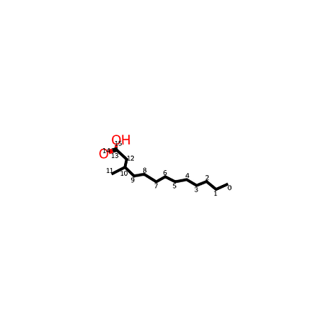 CCCCCCCCCCC(C)CC(=O)O